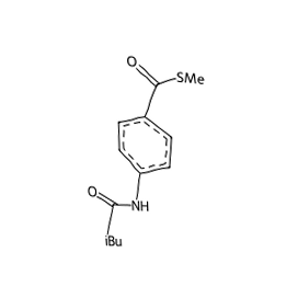 CCC(C)C(=O)Nc1ccc(C(=O)SC)cc1